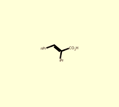 CCCC=C(C(=O)O)C(C)C